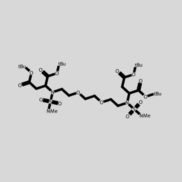 CNS(=O)(=O)N(CCOCCOCCN(C(CC(=O)OC(C)(C)C)C(=O)OC(C)(C)C)S(=O)(=O)NC)C(CC(=O)OC(C)(C)C)C(=O)OC(C)(C)C